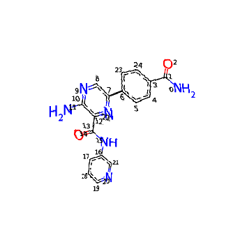 NC(=O)c1ccc(-c2cnc(N)c(C(=O)Nc3cccnc3)n2)cc1